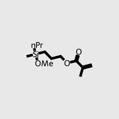 C=C(C)C(=O)OCCC[Si](C)(CCC)OC